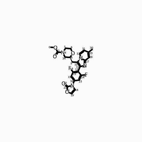 COC(=O)N1CCO[C@@H](Cc2c(-c3c(F)cc(-n4ccoc4=O)cc3F)nc3cc(C)ccn23)C1